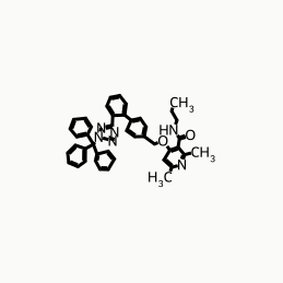 CCCNC(=O)c1c(OCc2ccc(-c3ccccc3-c3nnn(C(c4ccccc4)(c4ccccc4)c4ccccc4)n3)cc2)cc(C)nc1C